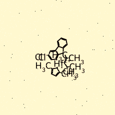 CC1=CC=C(C)[CH]1[Hf+2](=[C](C(C)C)C(C)C)[c]1cccc2c1Cc1ccccc1-2.[Cl-].[Cl-]